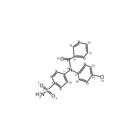 NS(=O)(=O)c1ccc(N(C(=O)c2ccccc2)c2ccc(Cl)cc2)cc1